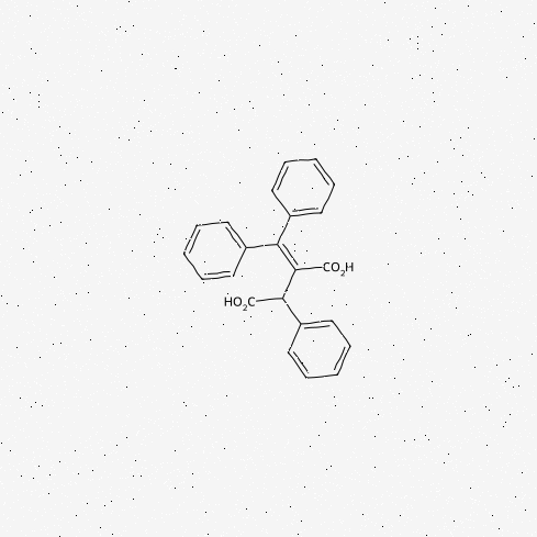 O=C(O)C(=C(c1ccccc1)c1ccccc1)C(C(=O)O)c1ccccc1